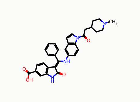 CN1CCC(CC(=O)n2ccc3cc(NC(=C4C(=O)Nc5cc(C(=O)O)ccc54)c4ccccc4)ccc32)CC1